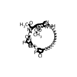 CCOP(=O)(OCC)c1cc2c3cc1-c1cnc(nc1)NCCCCCCCCCCCc1cc(Cl)c(F)c(c1)CNC(=O)[C@@H]1C[C@@H](F)CN1C(=O)Cn2nc3C(C)=O